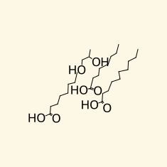 CC(O)CO.CCCCCCCC(=O)O.CCCCCCCC(=O)O.CCCCCCCCCC(=O)O